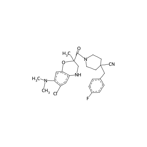 CN(C)c1cc2c(cc1Cl)NCC(C)(C(=O)N1CCC(C#N)(Cc3ccc(F)cc3)CC1)O2